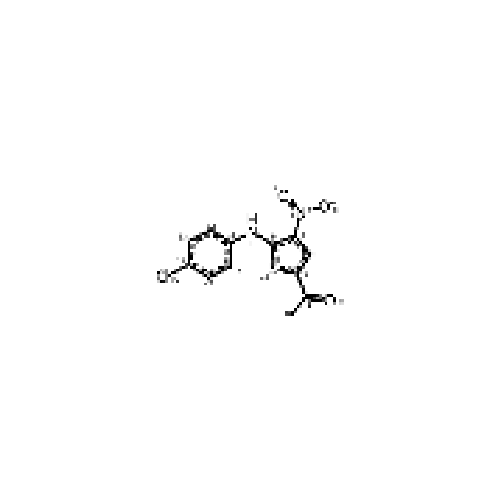 CC(=O)c1cc([N+](=O)[O-])c(Nc2ccc(Cl)cc2)s1